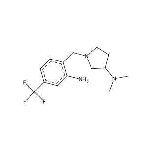 CN(C)C1CCN(Cc2ccc(C(F)(F)F)cc2N)C1